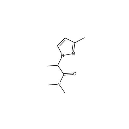 Cc1ccn(C(C)C(=O)N(C)C)n1